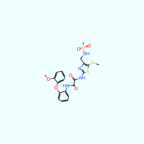 COc1ccccc1Oc1ccccc1NC(=O)C(=O)Nc1nc(CNS(C)(=O)=O)c(SC)s1